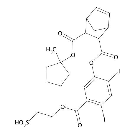 CC1(OC(=O)C2C3C=CC(C3)C2C(=O)Oc2cc(C(=O)OCCS(=O)(=O)O)c(I)cc2I)CCCC1